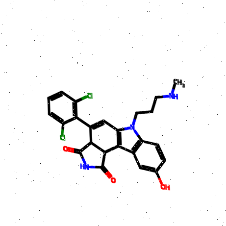 CNCCCn1c2c(c3cc(O)ccc31)C1C(=O)NC(=O)C1C(c1c(Cl)cccc1Cl)=C2